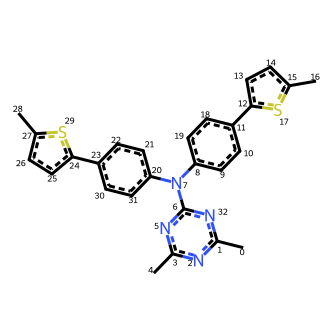 Cc1nc(C)nc(N(c2ccc(-c3ccc(C)s3)cc2)c2ccc(-c3ccc(C)s3)cc2)n1